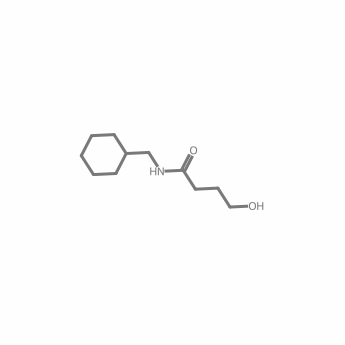 O=C(CCCO)NCC1CCCCC1